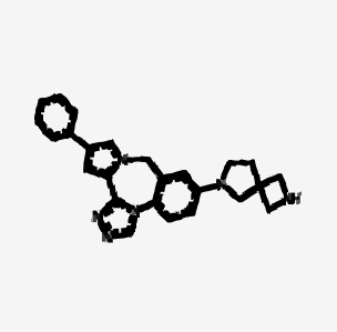 c1ccc(-c2cc3n(c2)Cc2cc(N4CCC5(CNC5)C4)ccc2-n2cnnc2-3)cc1